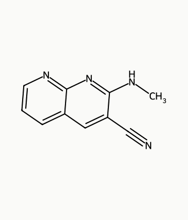 CNc1nc2ncccc2cc1C#N